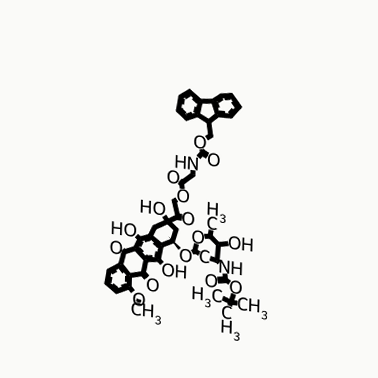 COc1cccc2c1C(=O)c1c(O)c3c(c(O)c1C2=O)CC(O)(C(=O)COC(=O)CNC(=O)OCC1c2ccccc2-c2ccccc21)C[C@H]3OC1CC(NC(=O)OC(C)(C)C)C(O)C(C)O1